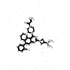 C=CC(=O)N1CCN(c2nc(N3CC(N(C)C)C3)nc3cc(-c4ccccc4F)c4c(c23)OCCC4)CC1